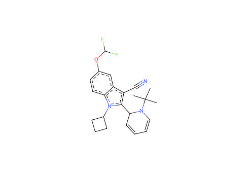 CC(C)(C)N1C=CC=CC1c1c(C#N)c2cc(OC(F)F)ccc2n1C1CCC1